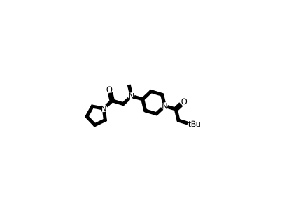 CN(CC(=O)N1CCCC1)C1CCN(C(=O)CC(C)(C)C)CC1